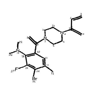 C=CC(=C)N1CCN(C(=C)c2cc(C)c(Br)c(F)c2N(C)C)CC1